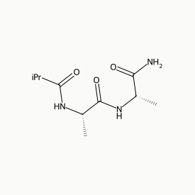 CC(C)C(=O)N[C@@H](C)C(=O)N[C@@H](C)C(N)=O